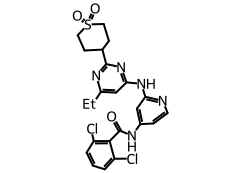 CCc1cc(Nc2cc(NC(=O)c3c(Cl)cccc3Cl)ccn2)nc(C2CCS(=O)(=O)CC2)n1